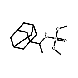 COP(=O)(NC(C)C12CC3CC(CC(C3)C1)C2)OC